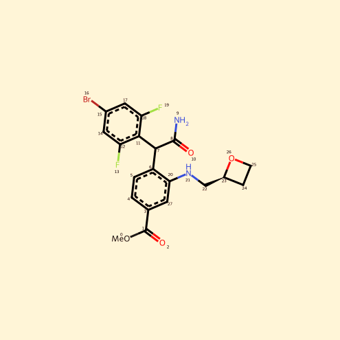 COC(=O)c1ccc(C(C(N)=O)c2c(F)cc(Br)cc2F)c(NC[C@@H]2CCO2)c1